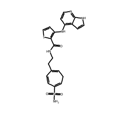 NS(=O)(=O)C1=CCC=C(CCNC(=O)c2sccc2Nc2ccnc3[nH]ccc23)C=C1